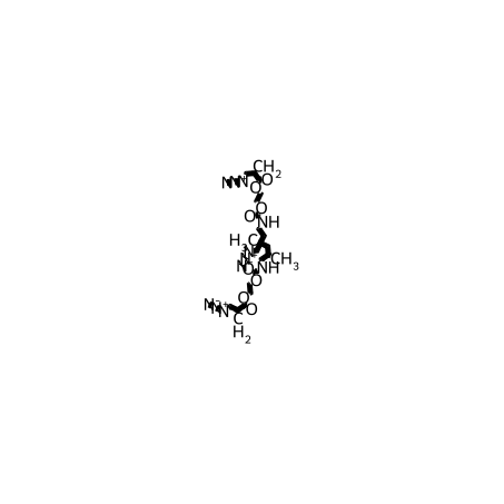 C=C(CN=[N+]=[N-])C(=O)OCCOC(=O)NCCC(C)(CN=[N+]=[N-])CC(C)CNC(=O)OCCOC(=O)C(=C)CN=[N+]=[N-]